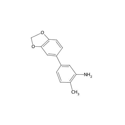 Cc1ccc(-c2ccc3c(c2)OCO3)cc1N